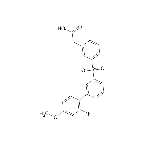 COc1ccc(-c2cccc(S(=O)(=O)c3cccc(CC(=O)O)c3)c2)c(F)c1